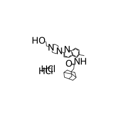 Cc1ccc2nc(N3CCN(CCO)CC3)ccc2c1NC(=O)CC12CC3CC(CC(C3)C1)C2.Cl.Cl